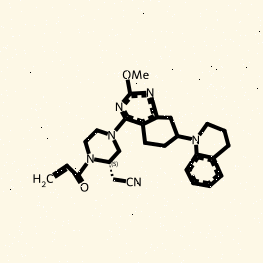 C=CC(=O)N1CCN(c2nc(OC)nc3c2CCC(N2CCCc4ccccc42)C3)C[C@@H]1CC#N